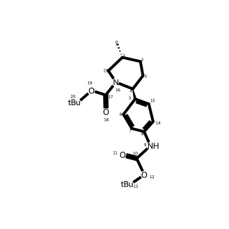 C[C@@H]1CC[C@@H](c2ccc(NC(=O)OC(C)(C)C)cc2)N(C(=O)OC(C)(C)C)C1